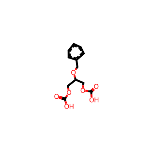 O=C(O)OCC(COC(=O)O)OCc1ccccc1